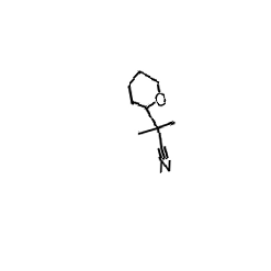 CC(C)(C#N)C1CCCCO1